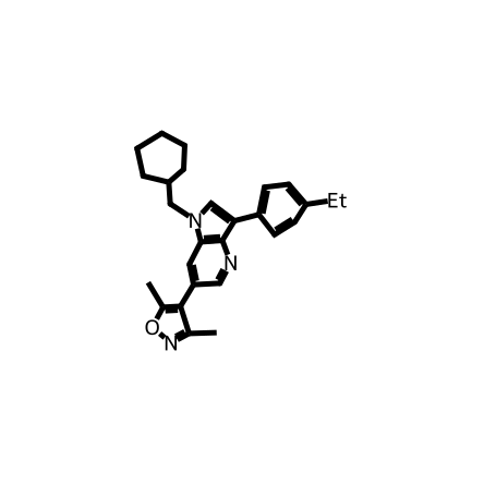 CCc1ccc(-c2cn(CC3CCCCC3)c3cc(-c4c(C)noc4C)cnc23)cc1